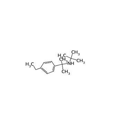 CCc1ccc(C(C)(C)NC(C)(C)C)cc1